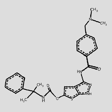 CN(C)Cc1ccc(C(=O)Nc2n[nH]c3sc(OC(=O)NC(C)(C)c4ccccc4)cc23)cc1